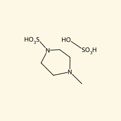 CN1CCN(S(=O)(=O)O)CC1.O=S(=O)(O)O